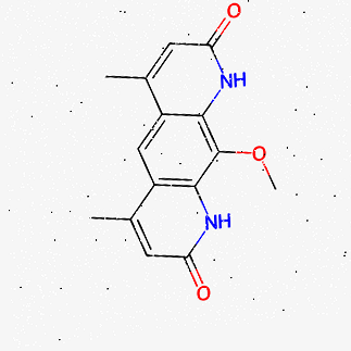 COc1c2[nH]c(=O)cc(C)c2cc2c(C)cc(=O)[nH]c12